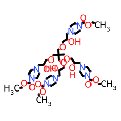 CCOC(=O)N1CCN(CC(O)COCC(COCC(O)CN2CCN(C(=O)OCC)CC2)(COCC(O)CN2CCN(C(=O)OCC)CC2)COCC(O)CN2CCN(C(=O)OCC)CC2)CC1